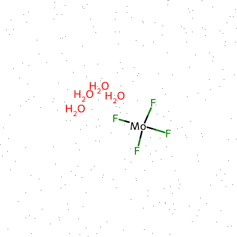 O.O.O.O.[F][Mo]([F])([F])[F]